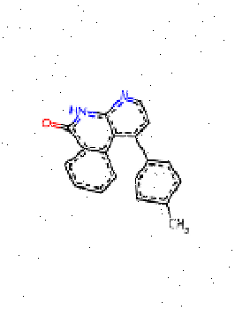 Cc1ccc(-c2ccnc3[nH]c(=O)c4ccccc4c23)cc1